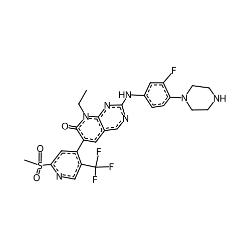 CCn1c(=O)c(-c2cc(S(C)(=O)=O)ncc2C(F)(F)F)cc2cnc(Nc3ccc(N4CCNCC4)c(F)c3)nc21